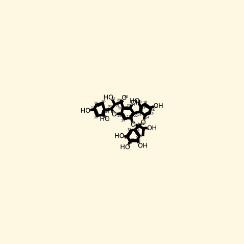 CC(O)C1(c2cc(O)c(O)c(O)c2)Oc2cc(O)cc(O)c2-c2c(cc3c(c2O)C(=O)C(O)C(c2ccc(O)cc2O)O3)O1